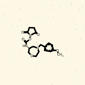 COc1ccc(CN2CCOC[C@H](NC(=O)ON3C(=O)CCC3=O)C2)cc1